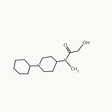 CN(C(=O)CO)C1CCN(C2CCCCC2)CC1